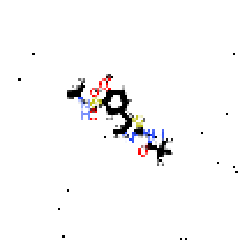 COc1ccc(-c2sc(NC(=O)C(C)(C)C)nc2C)cc1S(=O)(=O)NC(C)C